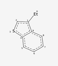 CCc1csc2ccccc12